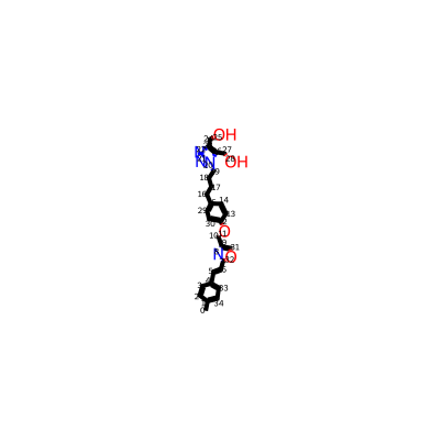 Cc1ccc(/C=C/c2nc(COc3ccc(CCCCn4nnc(CO)c4CO)cc3)co2)cc1